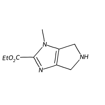 CCOC(=O)c1nc2c(n1C)CNC2